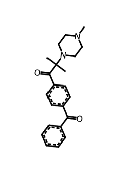 CN1CCN(C(C)(C)C(=O)c2ccc(C(=O)c3ccccc3)cc2)CC1